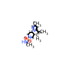 CNS(=O)(=O)N1CCC(n2nc(C)cc2C(C)C)CC1